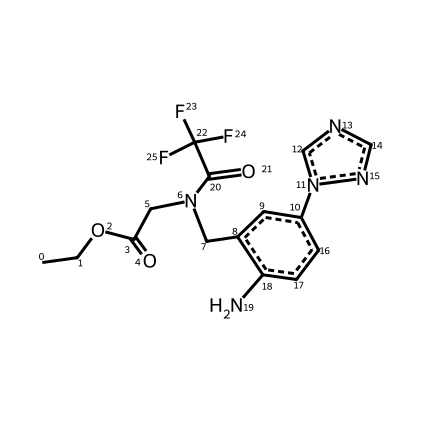 CCOC(=O)CN(Cc1cc(-n2cncn2)ccc1N)C(=O)C(F)(F)F